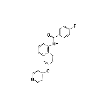 O=C(Nc1cccc2cc(Oc3ccncc3)ccc12)c1ccc(F)cc1